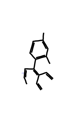 C=CC(C=C)=C(/C=C\C)c1ccc(C)cc1C